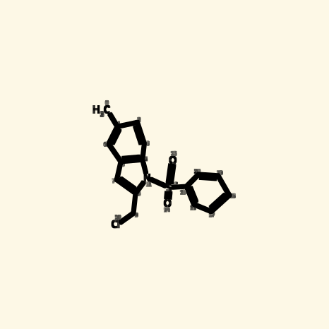 Cc1ccc2c(c1)cc(CCl)n2S(=O)(=O)c1ccccc1